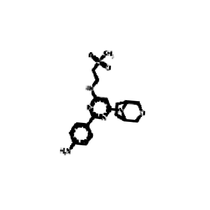 CS(=O)(=O)CCNc1cc(N2C3CCC2COC3)nc(-c2ccc(N)cc2)n1